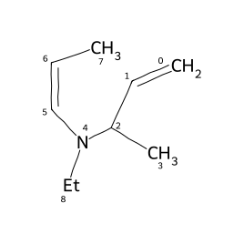 C=CC(C)N(/C=C\C)CC